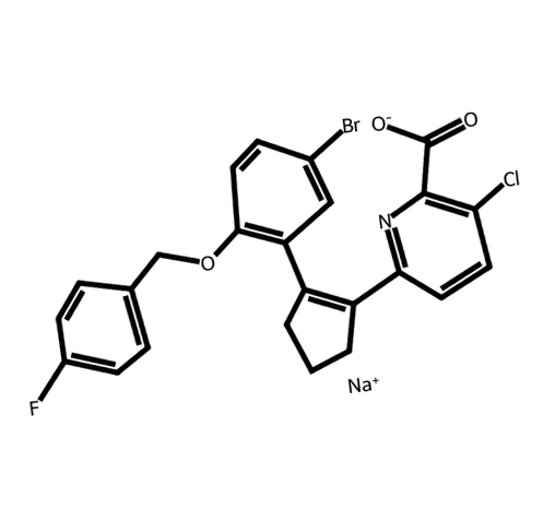 O=C([O-])c1nc(C2=C(c3cc(Br)ccc3OCc3ccc(F)cc3)CCC2)ccc1Cl.[Na+]